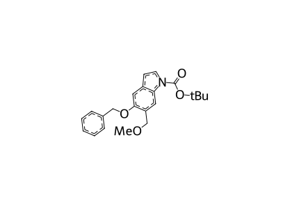 COCc1cc2c(ccn2C(=O)OC(C)(C)C)cc1OCc1ccccc1